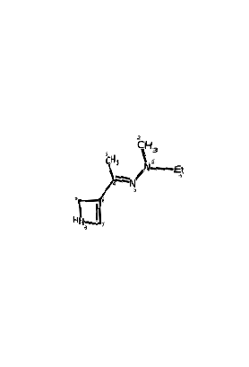 CCN(C)/N=C(\C)C1=CNC1